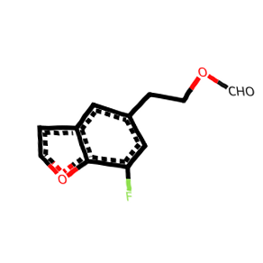 O=COCCc1cc(F)c2occc2c1